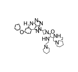 Nc1ncnc2c1c(-c1ccc(Oc3ccccc3)cc1)nn2C1CN(C(=O)C(NCCN2CCCCC2)C(N)CN2CCCCC2)C1